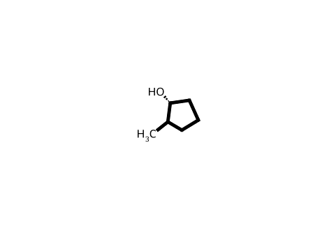 CC1CCC[C@H]1O